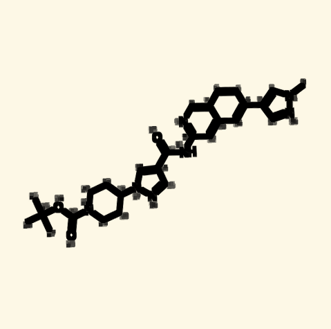 Cn1cc(-c2ccc3cnc(NC(=O)c4cnn(C5CCN(C(=O)OC(C)(C)C)CC5)c4)cc3c2)cn1